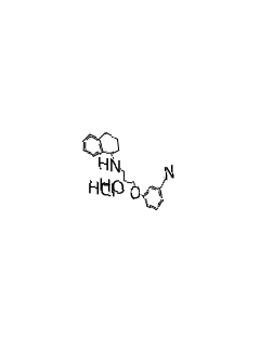 Cl.N#Cc1cccc(OCC(O)CNC2CCCc3ccccc32)c1